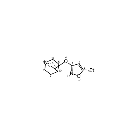 CCc1cc(OC2CN3CCC2CC3)no1